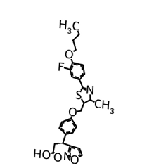 CCCCOc1ccc(C2=NC(C)C(COc3ccc([C@H](CC(=O)O)c4ccon4)cc3)S2)cc1F